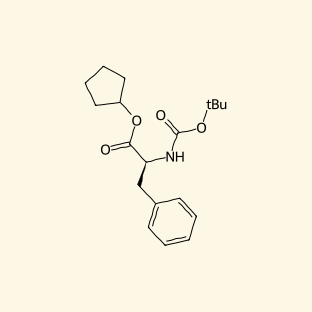 CC(C)(C)OC(=O)N[C@@H](Cc1ccccc1)C(=O)OC1CCCC1